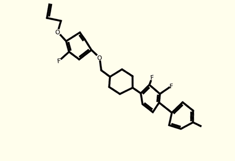 C=CCOc1ccc(OCC2CCC(c3ccc(-c4ccc(C)cc4)c(F)c3F)CC2)cc1F